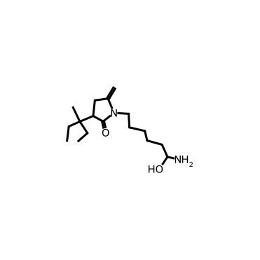 C=C1CC(C(C)(CC)CC)C(=O)N1CCCCCC(N)O